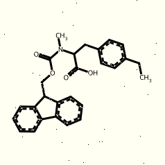 CCc1ccc(CC(C(=O)O)N(C)C(=O)OCC2c3ccccc3-c3ccccc32)cc1